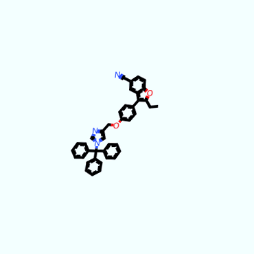 CCc1oc2ccc(C#N)cc2c1-c1ccc(OCc2cn(C(c3ccccc3)(c3ccccc3)c3ccccc3)cn2)cc1